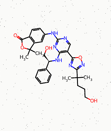 CC(C)(CCCO)c1noc(-c2cnc(Nc3ccc4c(c3)C(C)(C)OC4=O)nc2N[C@H](CO)c2ccccc2)n1